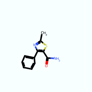 Cc1nc(-c2ccccc2)c(C(N)=O)s1